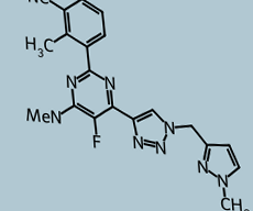 CNc1nc(-c2cccc(C#N)c2C)nc(-c2cn(Cc3ccn(C)n3)nn2)c1F